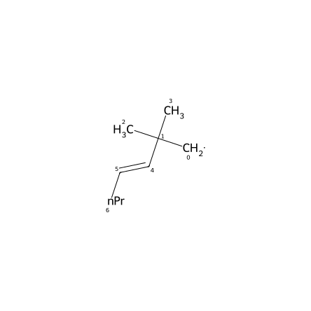 [CH2]C(C)(C)C=CCCC